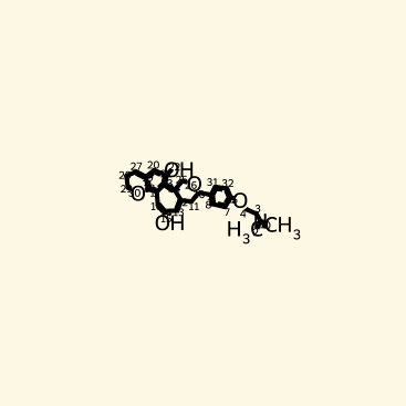 CN(C)CCOc1ccc(C2CC3=CC(O)=Cc4c5c(cc(O)c4=C3CO2)=CCCO5)cc1